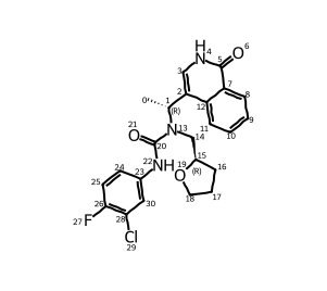 C[C@H](c1c[nH]c(=O)c2ccccc12)N(C[C@H]1CCCO1)C(=O)Nc1ccc(F)c(Cl)c1